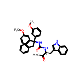 COC(=O)[C@H](Cc1c[nH]c2ccccc12)NC(=O)NC(Cc1ccccc1)(c1cccc(OC(F)(F)F)c1)c1cccc(OC(F)(F)F)c1